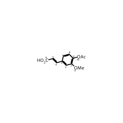 COc1cc(C=CC(=O)O)ccc1OC(C)=O